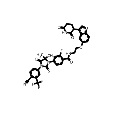 CC1(C)C(=O)N(c2ccc(C#N)c(C(F)(F)F)c2)C(=S)N1c1ccc(C(=O)NCCOc2ccc3occ(C4CCC(=O)NC4=O)c3c2)c(F)c1